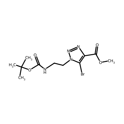 COC(=O)c1nnn(CCNC(=O)OC(C)(C)C)c1Br